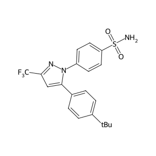 CC(C)(C)c1ccc(-c2cc(C(F)(F)F)nn2-c2ccc(S(N)(=O)=O)cc2)cc1